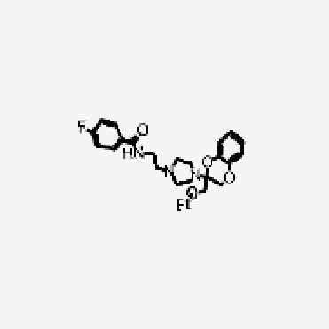 CCOCC1(N2CCN(CCNC(=O)c3ccc(F)cc3)CC2)COc2ccccc2O1